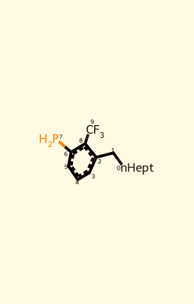 CCCCCCCCc1cccc(P)c1C(F)(F)F